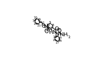 NC(=O)N(NC(=O)C1CCC2CN1C(=O)N2OCc1ccccc1)c1ccccc1